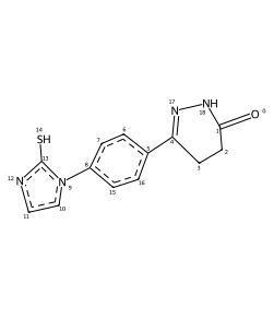 O=C1CCC(c2ccc(-n3ccnc3S)cc2)=NN1